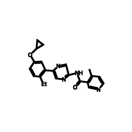 CCc1ccc(OC2CC2)cc1-c1cnc(NC(=O)c2cnccc2C)cn1